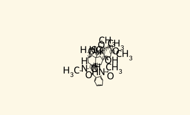 CCNC[C@]1(OC(=O)c2ccccc2NC(C)=O)CC=C(O)C23CC(C[C@@H]21)[C@@]1(O)C[C@H](OC)[C@@H](C)[C@H](OC)[C@@]1(O)[C@H]3C